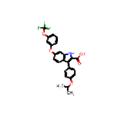 CC(C)Oc1ccc(-c2c(C(=O)O)[nH]c3cc(Oc4cccc(OC(F)(F)F)c4)ccc23)cc1